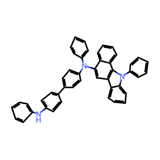 c1ccc(Nc2ccc(-c3ccc(N(c4ccccc4)c4cc5c6ccccc6n(-c6ccccc6)c5c5ccccc45)cc3)cc2)cc1